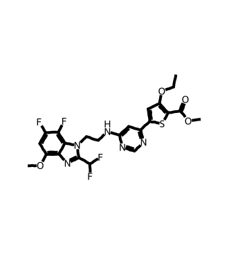 CCOc1cc(-c2cc(NCCn3c(C(F)F)nc4c(OC)cc(F)c(F)c43)ncn2)sc1C(=O)OC